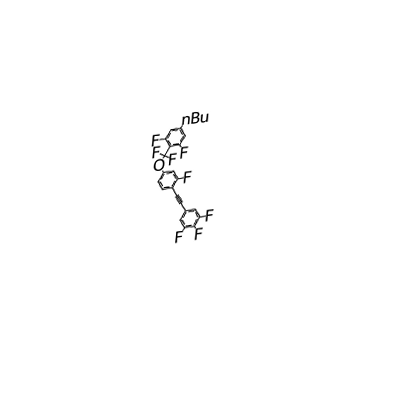 CCCCc1cc(F)c(C(F)(F)Oc2ccc(C#Cc3cc(F)c(F)c(F)c3)c(F)c2)c(F)c1